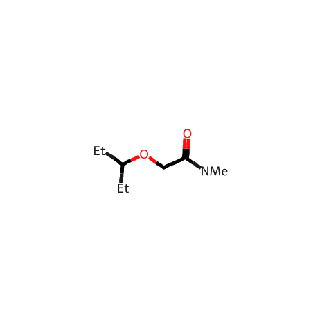 CCC(CC)OCC(=O)NC